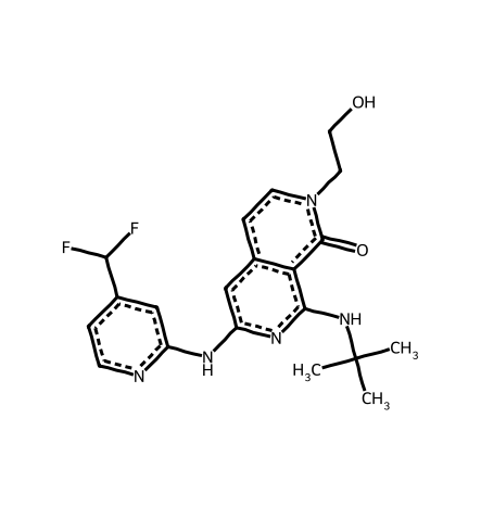 CC(C)(C)Nc1nc(Nc2cc(C(F)F)ccn2)cc2ccn(CCO)c(=O)c12